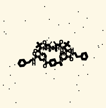 C=C(c1ccc(C(=O)N2CCN(C(=O)[C@@H](NC(=O)[C@H](C)NC)C(C)(C)C)[C@H](C(=O)NCCc3ccccc3)C2)cc1)N1CCN(C(=O)[C@@H](NC(=O)[C@H](C)NC)C(C)(C)C)[C@H](C(=O)NCCc2ccccc2)C1